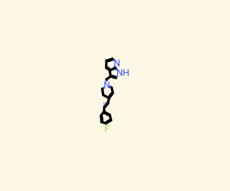 Fc1ccc(/C=C/C2=CCN(Cc3c[nH]c4ncccc34)CC2)cc1